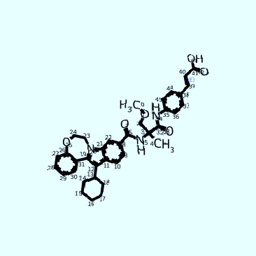 COCC(C)(NC(=O)c1ccc2c(C3CCCCC3)c3n(c2c1)CCOc1ccccc1-3)C(=O)Nc1ccc(/C=C/C(=O)O)cc1